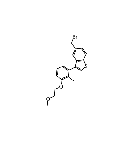 COCCOc1cccc(-c2csc3ccc(CBr)cc23)c1C